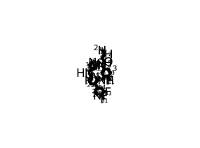 [2H]C([2H])=CC(=O)Nc1ccc(F)c(Nc2nc(Nc3cnn(C)c3)ncc2-c2cnc(F)c(F)c2)c1